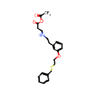 O=C(CCNCCc1cccc(OCCSCc2ccccc2)c1)OC(=O)C(F)(F)F